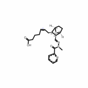 CN(N=C[C@H]1[C@@H](C/C=C\CCCC(=O)O)[C@H]2CC[C@@H]1O2)C(=O)c1ccccn1